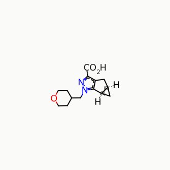 O=C(O)c1nn(CC2CCOCC2)c2c1C[C@H]1C[C@@H]21